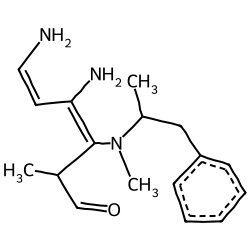 CC(C=O)/C(=C(N)\C=C/N)N(C)C(C)Cc1ccccc1